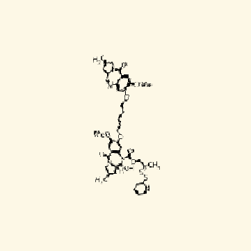 C=C1CC2C=Nc3cc(OCCCCCOc4cc5c(cc4OC)C(=O)N4CC(=C)C[C@H]4[C@H](O)N5C(=O)OC[C@@H](C)SSc4ccccn4)c(OC)cc3C(=O)N2C1